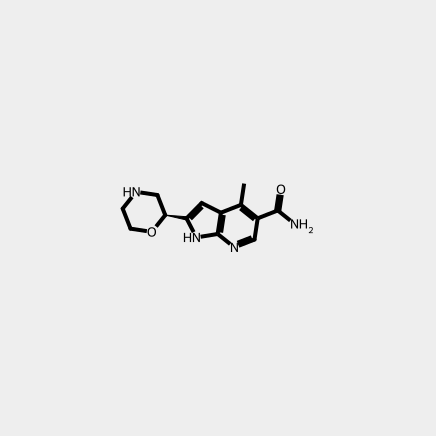 Cc1c(C(N)=O)cnc2[nH]c([C@@H]3CNCCO3)cc12